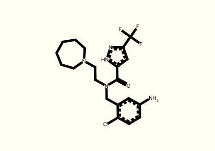 Nc1ccc(Cl)c(CN(CCN2CCCCCC2)C(=O)c2cc(C(F)(F)F)n[nH]2)c1